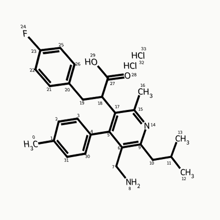 Cc1ccc(-c2c(CN)c(CC(C)C)nc(C)c2C(Cc2ccc(F)cc2)C(=O)O)cc1.Cl.Cl